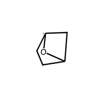 C1CC2C[C]1O2